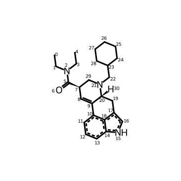 CCN(CC)C(=O)[C@@H]1C=C2c3cccc4[nH]cc(c34)C[C@H]2N(CC2CCCCC2)C1